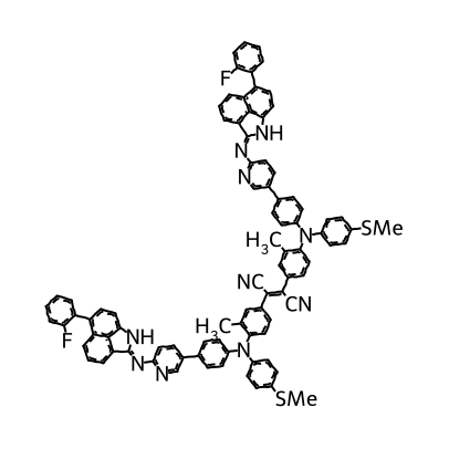 CSc1ccc(N(c2ccc(-c3ccc(/N=C4\Nc5ccc(-c6ccccc6F)c6cccc4c56)nc3)cc2)c2ccc(/C(C#N)=C(\C#N)c3ccc(N(c4ccc(SC)cc4)c4ccc(-c5ccc(/N=C6\Nc7ccc(-c8ccccc8F)c8cccc6c78)nc5)cc4)c(C)c3)cc2C)cc1